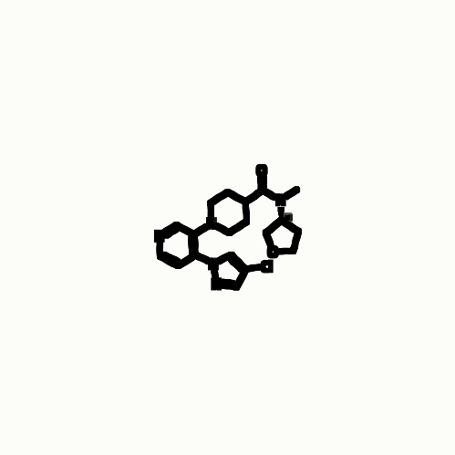 CN(C(=O)C1CCN(c2cnccc2-n2cc(Cl)cn2)CC1)[C@@H]1CCOC1